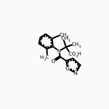 Cc1cccc(C)c1N(C(=O)c1ccno1)C(C)(C)C(=O)O